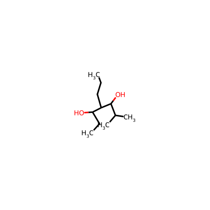 CCCC(C(O)CC)C(O)C(C)C